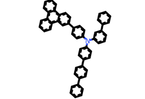 c1ccc(-c2ccc(-c3ccc(N(c4ccc(-c5ccc6c7ccccc7c7ccccc7c6c5)cc4)c4cccc(-c5ccccc5)c4)cc3)cc2)cc1